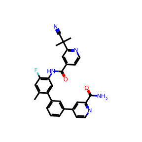 Cc1cc(F)c(NC(=O)c2ccnc(C(C)(C)C#N)c2)cc1-c1cccc(-c2ccnc(C(N)=O)c2)c1